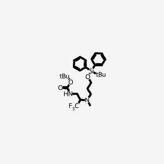 CN(CCCO[Si](c1ccccc1)(c1ccccc1)C(C)(C)C)C(CNC(=O)OC(C)(C)C)C(F)(F)F